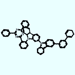 C1=CC2c3ccc(-n4c5ccccc5c5cc(-c6cccc(C7=CCCC=C7)c6)ccc54)cc3N(c3ccccc3-c3nc(-c4ccccc4)nc(-c4ccccc4)n3)C2C=C1